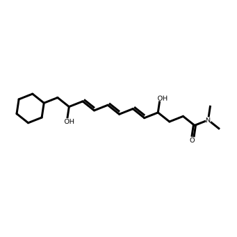 CN(C)C(=O)CCC(O)/C=C/C=C/C=C/C(O)CC1CCCCC1